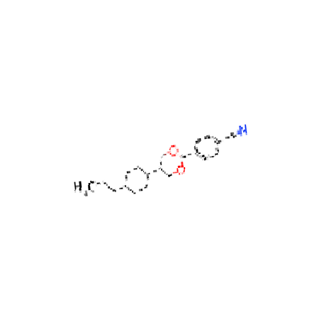 CCCC1CCC(C2COC(c3ccc(C#N)cc3)OC2)CC1